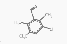 Cc1c(Cl)cc(C(Cl)(Cl)Cl)c(C)c1C=S